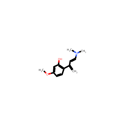 C=C(/C=C/N(C)C)c1ccc(OC)cc1O